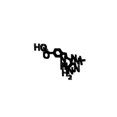 CC(C)(C)n1nc(-c2cc3ccc(C4O[C@H]4O)cc3[nH]2)c2c(N)ncnc21